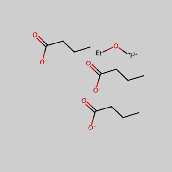 CCCC(=O)[O-].CCCC(=O)[O-].CCCC(=O)[O-].CC[O][Ti+3]